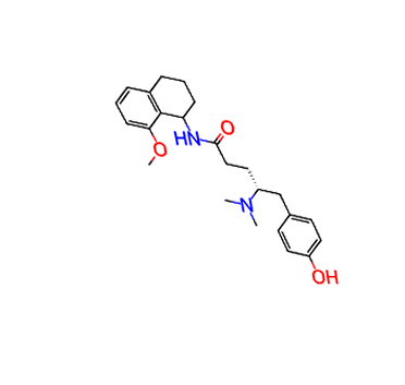 COc1cccc2c1C(NC(=O)CC[C@H](Cc1ccc(O)cc1)N(C)C)CCC2